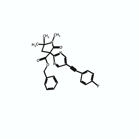 CN1C(=O)C(C(=O)OCc2ccccc2)(c2ncc(C#Cc3ccc(F)cc3)cn2)CC1(C)C